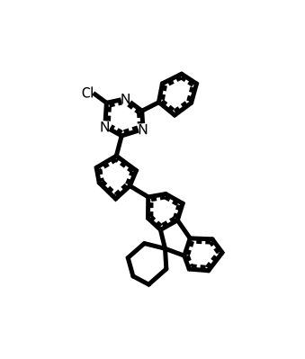 Clc1nc(-c2ccccc2)nc(-c2cccc(-c3ccc4c(c3)C3(CCCCC3)c3ccccc3-4)c2)n1